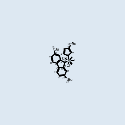 [CH2]=[Zr]([CH3])([CH3])([Cl])([Cl])([CH]1C=CC(C(C)(C)C)=C1)[CH]1c2cc(C(C)(C)C)ccc2-c2ccc(C(C)(C)C)cc21